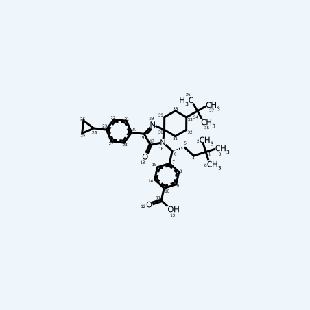 CC(C)(C)CC[C@H](c1ccc(C(=O)O)cc1)N1C(=O)C(c2ccc(C3CC3)cc2)=NC12CCC(C(C)(C)C)CC2